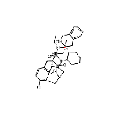 CCN(CC)C(=O)N(C1CCCCC1)C1CC2CCC(C1)N2C(=O)[C@@H](Cc1ccc(Cl)cc1)NC[C@H]1Cc2ccccc2CN1